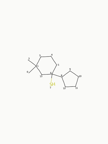 CC1(C)CCCC(S)(C2CCCC2)C1